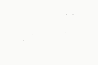 C1CCOCC1.CCCCCCCCOC(=O)c1c(CCCCCCCC)cccc1C(=O)O